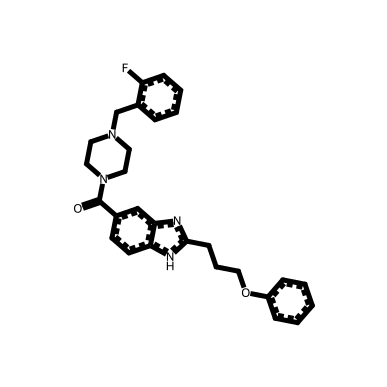 O=C(c1ccc2[nH]c(CCCOc3ccccc3)nc2c1)N1CCN(Cc2ccccc2F)CC1